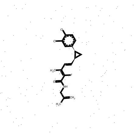 C=C(C)CNC(=O)C(F)=C(C)C=C[C@@H]1C[C@H]1c1ccc(Cl)c(Cl)c1